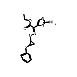 CCOC(=O)C(=NOC1CC1Sc1ccccc1)c1csc(N)n1